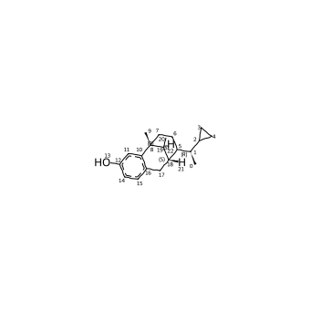 C[C@H](C1CC1)C1CC[C@@]2(C)c3cc(O)ccc3C[C@@H]1[C@@H]2C